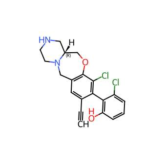 C#Cc1cc2c(c(Cl)c1-c1c(O)cccc1Cl)OC[C@H]1CNCCN1C2